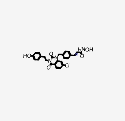 O=C(/C=C/c1ccc(Cn2c(=O)n(CCc3ccc(O)cc3)c(=O)c3ccc(Cl)cc32)cc1)NO